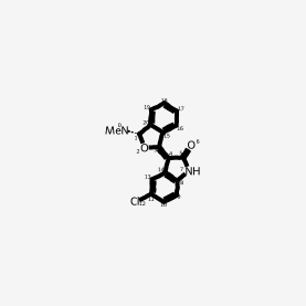 CN[C@H]1O/C(=C2/C(=O)Nc3ccc(Cl)cc32)c2ccccc21